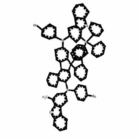 Cc1cc(N(c2ccc(C(C)(C)C)cc2)c2cc3c(c4ccccc24)-c2ccc(N(c4ccc(C(C)(C)C)cc4)c4cc([Si](c5ccccc5)(c5ccccc5)c5ccccc5)c5oc6ccccc6c5c4)cc2C32c3ccccc3-c3ccccc32)cc2c1oc1ccccc12